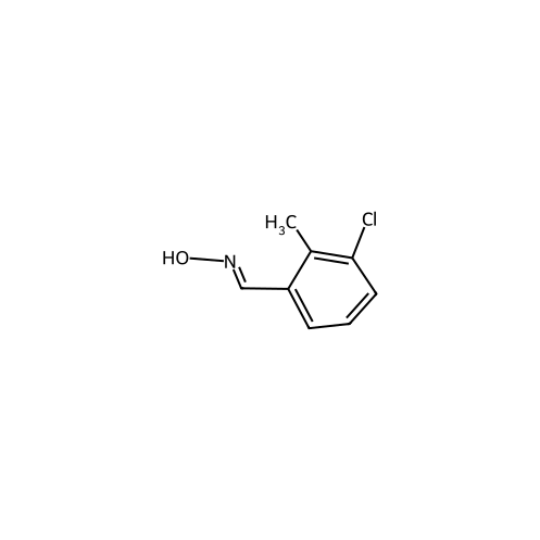 Cc1c(Cl)cccc1/C=N/O